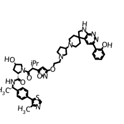 Cc1ncsc1-c1ccc([C@H](C)NC(=O)[C@@H]2C[C@@H](O)CN2C(=O)[C@@H](c2cc(OCCN3CCC(N4CCC5(CC4)CNc4nnc(-c6ccccc6O)cc45)C3)no2)C(C)C)cc1